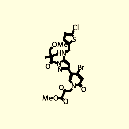 COCC(C)(C)C(=O)n1nc(-c2cn(CC(=O)C(=O)OC)c(=O)cc2Br)cc1NCc1ccc(Cl)s1